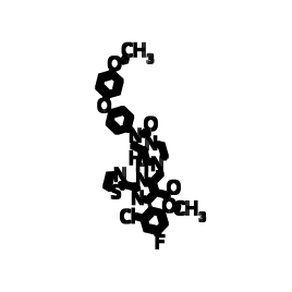 CCOc1ccc(Oc2ccc(N3C[C@@H]4CN(CC5=C(C(=O)OC)[C@H](c6ccc(F)cc6Cl)N=C(c6nccs6)N5)CCN4C3=O)cc2)cc1